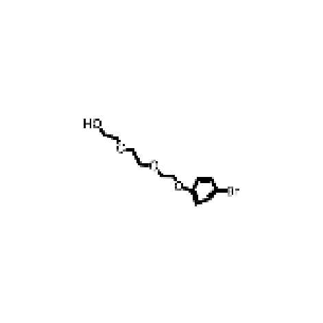 OCCOCCOCCOc1ccc(Br)cc1